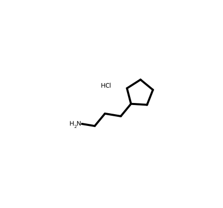 Cl.NCCCC1CCCC1